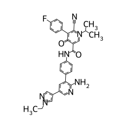 CCn1cc(-c2cnc(N)c(-c3ccc(NC(=O)c4cn(C(C)C)c(C#N)c(-c5ccc(F)cc5)c4=O)cc3)c2)cn1